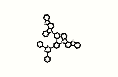 c1ccc(-c2cc(-c3ccc(-n4c5ccccc5c5c6oc7ccccc7c6ccc54)c(-c4cccc(-n5c6ccccc6c6c7oc8ccccc8c7ccc65)c4)c3)nc(-c3ccccc3)n2)cc1